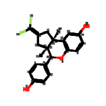 Oc1ccc([C@@H]2Oc3ccc(O)cc3[C@@H]3CC(=C(F)F)C[C@@H]32)cc1